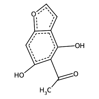 CC(=O)c1c(O)cc2occc2c1O